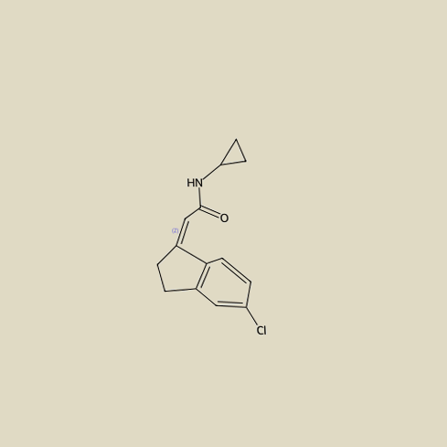 O=C(/C=C1/CCc2cc(Cl)ccc21)NC1CC1